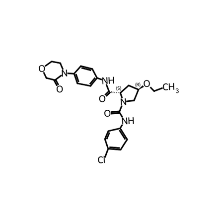 CCO[C@@H]1C[C@@H](C(=O)Nc2ccc(N3CCOCC3=O)cc2)N(C(=O)Nc2ccc(Cl)cc2)C1